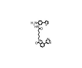 Nc1ccc(-c2cccs2)cc1NC(=O)CCCCCN1Cc2c(cccc2-c2cncnc2)C1=O